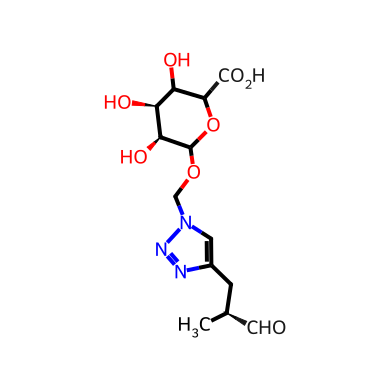 C[C@H](C=O)Cc1cn(COC2OC(C(=O)O)C(O)[C@H](O)[C@@H]2O)nn1